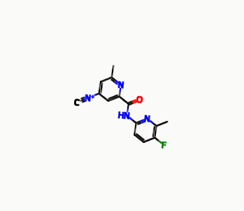 [C-]#[N+]c1cc(C)nc(C(=O)Nc2ccc(F)c(C)n2)c1